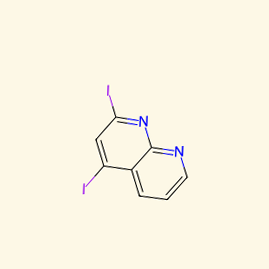 Ic1cc(I)c2cccnc2n1